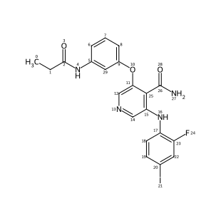 CCC(=O)Nc1cccc(Oc2cncc(Nc3ccc(I)cc3F)c2C(N)=O)c1